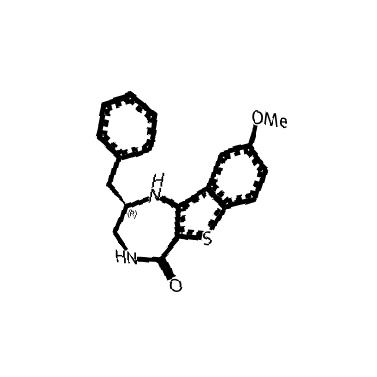 COc1ccc2sc3c(c2c1)N[C@H](Cc1ccccc1)CNC3=O